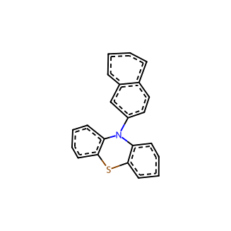 c1ccc2c(c1)Sc1ccccc1N2c1ccc2ccccc2c1